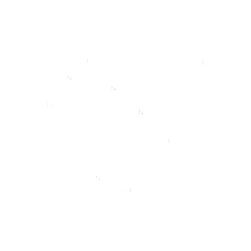 C=CC(Nc1onc(C)c1Cl)S(=O)(=O)c1cc(C)sc1C(=O)Nc1cc(C)c(C(C)=N)c(C)c1O